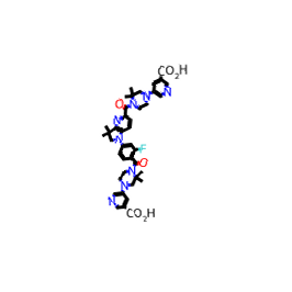 CC1(C)CN(c2ccc(C(=O)N3CCN(c4cncc(C(=O)O)c4)CC3(C)C)c(F)c2)c2ccc(C(=O)N3CCN(c4cncc(C(=O)O)c4)CC3(C)C)nc21